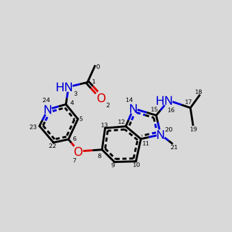 CC(=O)Nc1cc(Oc2ccc3c(c2)nc(NC(C)C)n3C)ccn1